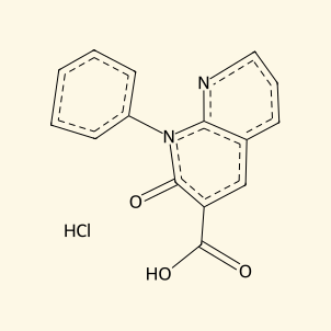 Cl.O=C(O)c1cc2cccnc2n(-c2ccccc2)c1=O